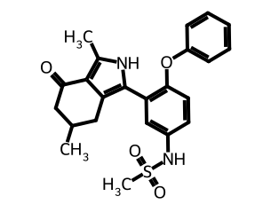 Cc1[nH]c(-c2cc(NS(C)(=O)=O)ccc2Oc2ccccc2)c2c1C(=O)CC(C)C2